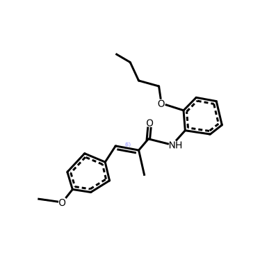 CCCCOc1ccccc1NC(=O)/C(C)=C/c1ccc(OC)cc1